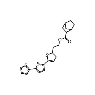 O=C(OCCC1CC=C(c2ccc(-c3cccs3)s2)S1)C1CC2CCC1C2